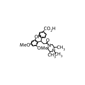 COc1cc(O)c(C(CC(=O)N2CC(C)N(C)C(C)C2)c2ccc(C(=O)O)cc2)c(OC)c1